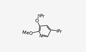 CCCOc1cc(C(C)C)cnc1OC